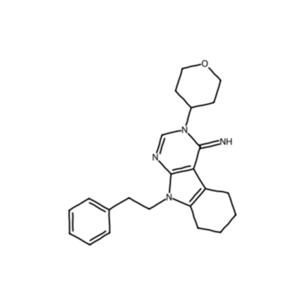 N=c1c2c3c(n(CCc4ccccc4)c2ncn1C1CCOCC1)CCCC3